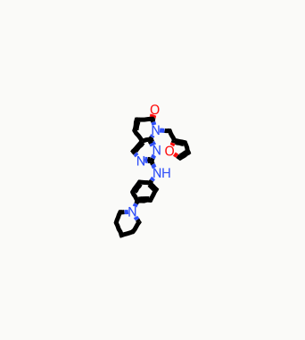 O=c1ccc2cnc(Nc3ccc(N4CCCCC4)cc3)nc2n1Cc1ccco1